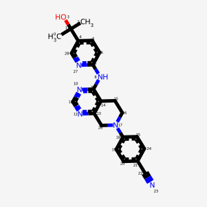 CC(C)(O)c1ccc(Nc2ncnc3c2CCN(c2ccc(C#N)cc2)C3)nc1